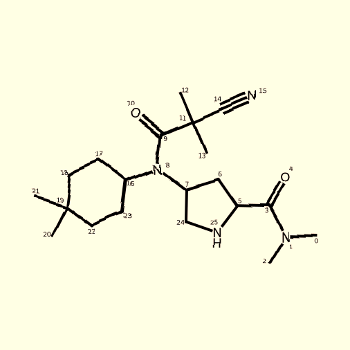 CN(C)C(=O)C1CC(N(C(=O)C(C)(C)C#N)C2CCC(C)(C)CC2)CN1